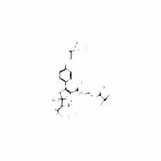 CNC(=O)COc1ccc(C2=C(C(=O)OCOC(=O)C(C)(C)C)N3C(=O)[C@H]([C@@H](C)O)[C@H]3C2)cc1